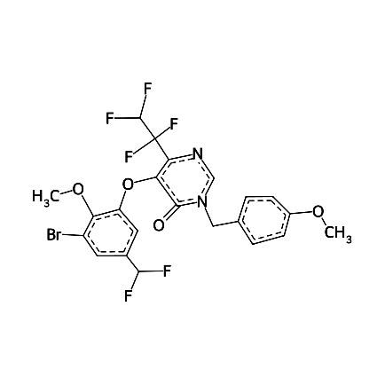 COc1ccc(Cn2cnc(C(F)(F)C(F)F)c(Oc3cc(C(F)F)cc(Br)c3OC)c2=O)cc1